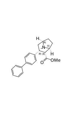 COC(=O)[C@@H]1[C@H](c2ccc(-c3ccccc3)cc2)C[C@H]2CC[C@@H]1N2C